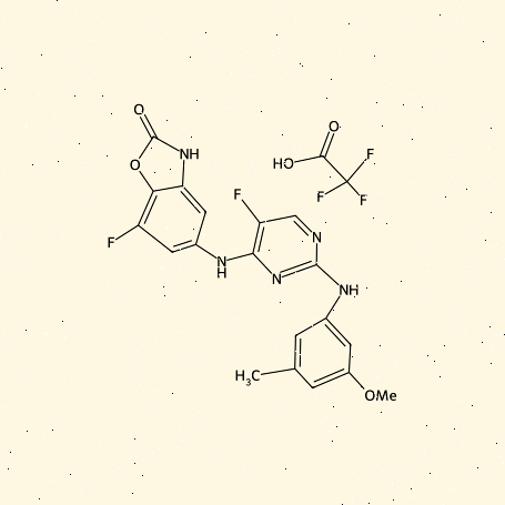 COc1cc(C)cc(Nc2ncc(F)c(Nc3cc(F)c4oc(=O)[nH]c4c3)n2)c1.O=C(O)C(F)(F)F